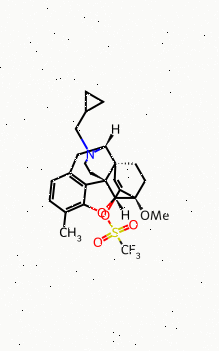 CO[C@]12CC[C@@]3(C=C1OS(=O)(=O)C(F)(F)F)[C@H]1Cc4ccc(C)c5c4[C@@]3(CCN1CC1CC1)[C@H]2O5